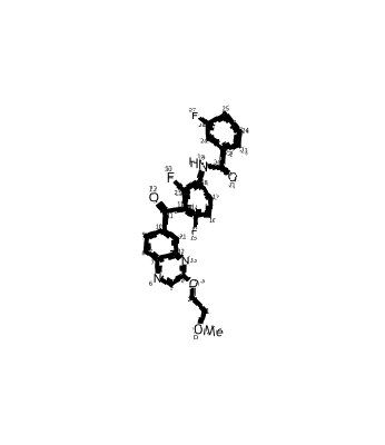 COCCOc1cnc2ccc(C(=O)c3c(F)ccc(NC(=O)c4cccc(F)c4)c3F)cc2n1